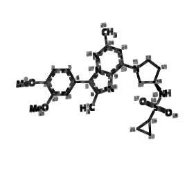 COc1ccc(-c2c(C)nc3c(N4CC[C@@H](NS(=O)(=O)C5CC5)C4)cc(C)nn23)cc1OC